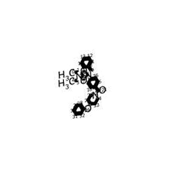 CCN(CC)S(=O)(=O)N(Cc1ccccc1)c1ccc(C(=O)N2CCC(Oc3ccccc3)CC2)cc1